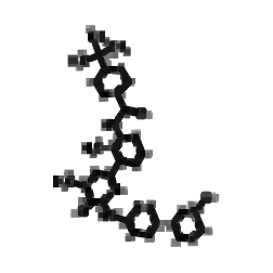 Cc1c(NC(=O)c2ccc(C(C)(C)C)cc2)cccc1-c1cn(C)c(=O)c(Nc2ccc(-c3ccc[n+]([O-])c3)cc2)n1